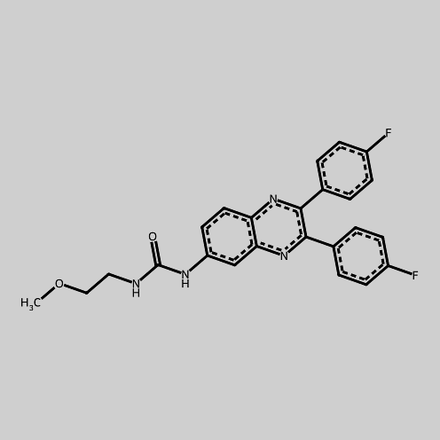 COCCNC(=O)Nc1ccc2nc(-c3ccc(F)cc3)c(-c3ccc(F)cc3)nc2c1